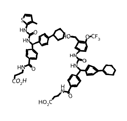 Cc1ccsc1NC(=O)NC(c1ccc(C(=O)NCCC(=O)O)cc1)c1ccc(C2CCCCC2)cc1.O=C(O)CCNC(=O)c1ccc(C(NC(=O)Nc2ccc(OC(F)(F)F)c(CO)c2)c2ccc(C3=CCCCC3)cc2)cc1